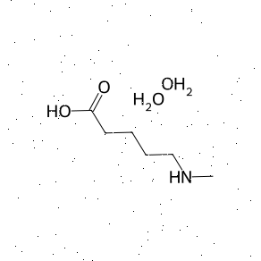 CNCCCCC(=O)O.O.O